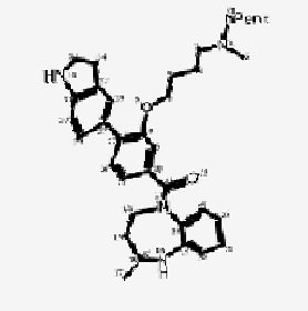 CCCCCN(C)CCCCOc1cc(C(=O)N2CC[C@H](C)Nc3ccccc32)ccc1-c1ccc2c(c1)CCN2